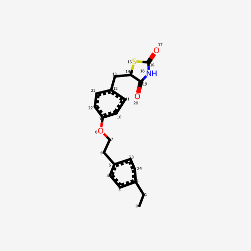 CCc1ccc(CCOc2ccc(CC3SC(=O)NC3=O)cc2)cc1